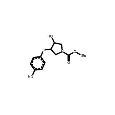 CC(C)(C)OC(=O)N1CC(O)C(Sc2ccc(O)cc2)C1